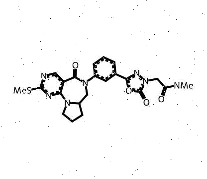 CNC(=O)Cn1nc(-c2cccc(N3CC4CCCN4c4nc(SC)ncc4C3=O)c2)oc1=O